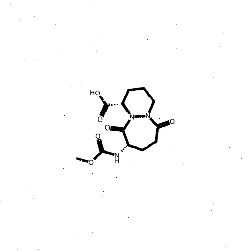 COC(=O)N[C@H]1CCC(=O)N2CCC[C@@H](C(=O)O)N2C1=O